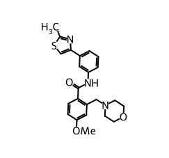 COc1ccc(C(=O)Nc2cccc(-c3csc(C)n3)c2)c(CN2CCOCC2)c1